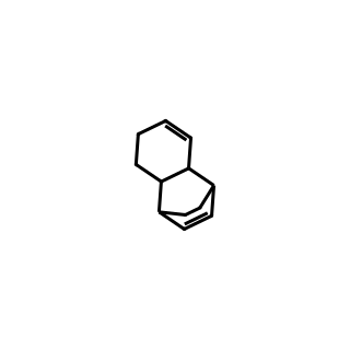 C1=CC2C3C=CC(CC3)C2CC1